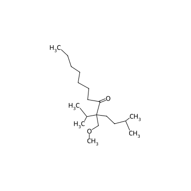 CCCCCCCC(=O)C(CCC(C)C)(COC)C(C)C